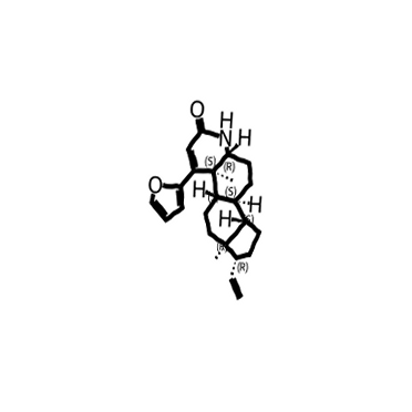 C=C[C@H]1CC[C@H]2[C@@H]3CC[C@H]4NC(=O)C=C(c5ccco5)[C@]4(C)[C@H]3CC[C@]12C